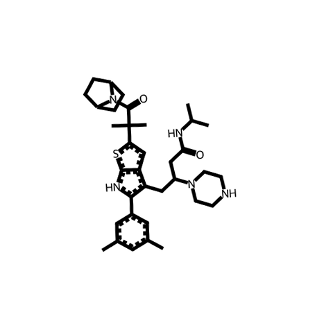 Cc1cc(C)cc(-c2[nH]c3sc(C(C)(C)C(=O)N4C5CCC4CC5)cc3c2CC(CC(=O)NC(C)C)N2CCNCC2)c1